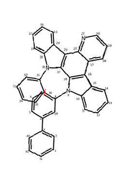 c1ccc(-c2cccc(-n3c4ccccc4c4c5cccnc5c5c6ccccc6n(-c6ccccc6)c5c43)c2)cc1